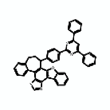 c1ccc(-c2cc(-c3ccccc3)nc(-c3ccc(C4CCc5ccccc5-c5c4c4oc6ccccc6c4c4ncsc54)cc3)n2)cc1